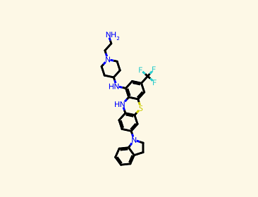 NCCN1CCC(Nc2cc(C(F)(F)F)cc3c2Nc2ccc(N4CCc5ccccc54)cc2S3)CC1